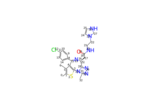 Cc1sc2c(c1C)C(c1ccc(Cl)cc1)=N[C@@H](CC(=O)NCCN1C=CNC1)c1nnc(C)n1-2